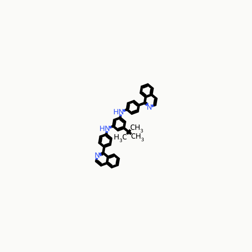 CC(C)(C)c1cc(Nc2ccc(-c3nccc4ccccc34)cc2)cc(Nc2ccc(-c3nccc4ccccc34)cc2)c1